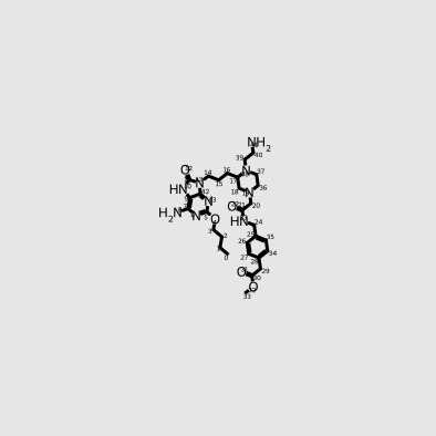 CCCCOc1nc(N)c2[nH]c(=O)n(CCCC3CN(CC(=O)NCc4ccc(CC(=O)OC)cc4)CCN3CCN)c2n1